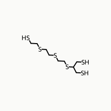 SCCSCCSCCSC(CS)CS